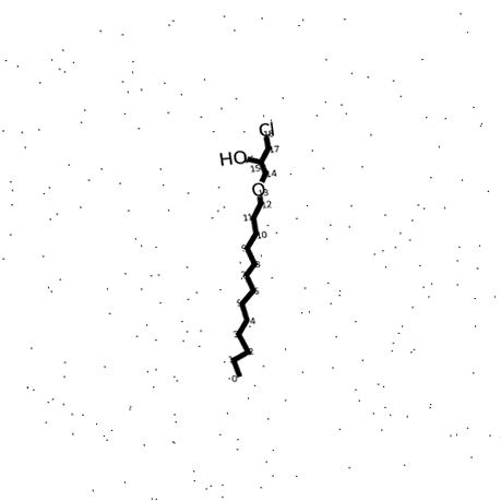 CCCCCCCCCCCCCOCC(O)CCl